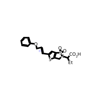 CCC(C(=O)O)N1Cc2sc(/C=C/COc3ccccc3)cc2S1(=O)=O